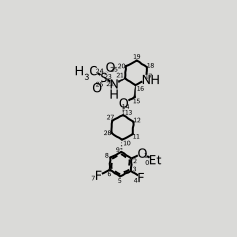 CCOc1c(F)cc(F)cc1[C@H]1CC[C@@H](OC[C@@H]2NCCC[C@@H]2NS(C)(=O)=O)CC1